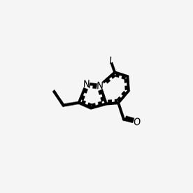 CCc1cc2c(C=O)ccc(I)n2n1